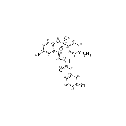 Cc1ccc(S(=O)(=O)Oc2ccc(F)cc2C=NNC(=O)Cc2cccc(Cl)c2)cc1